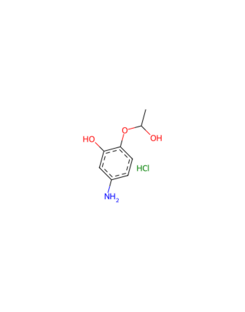 CC(O)Oc1ccc(N)cc1O.Cl